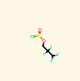 O=S(Cl)OCC(F)(F)C(F)F